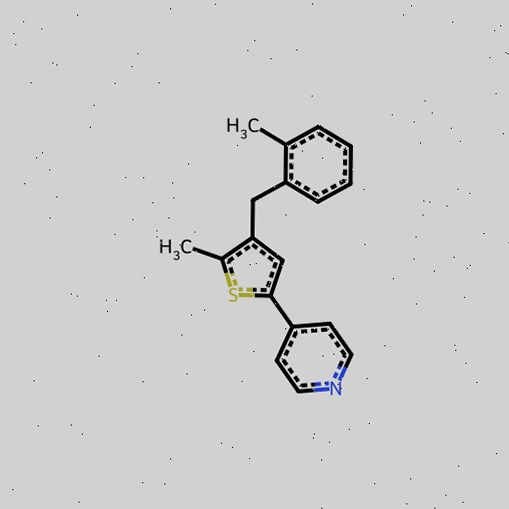 Cc1ccccc1Cc1cc(-c2ccncc2)sc1C